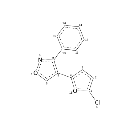 Clc1ccc(-c2conc2-c2ccccc2)o1